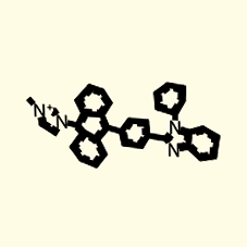 C[n+]1ccn(-c2c3ccccc3c(-c3ccc(-c4nc5ccccc5n4-c4ccccc4)cc3)c3ccccc23)c1